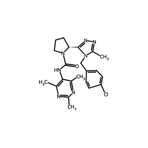 Cc1nc(C)c(NC(=O)N2CCC[C@@H]2c2nnc(C)n2Cc2ccc(Cl)cc2)c(C)n1